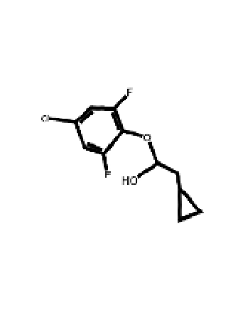 OC(CC1CC1)Oc1c(F)cc(Cl)cc1F